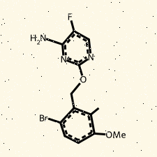 COc1ccc(Br)c(COc2ncc(F)c(N)n2)c1C